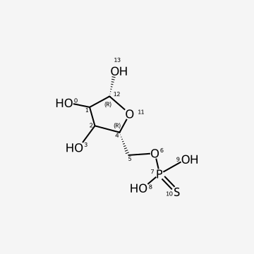 OC1C(O)[C@@H](COP(O)(O)=S)O[C@H]1O